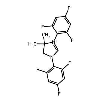 CC1(C)CN(c2c(F)cc(F)cc2F)C=[N+]1c1c(F)cc(F)cc1F